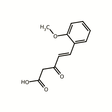 COc1ccccc1C=CC(=O)CC(=O)O